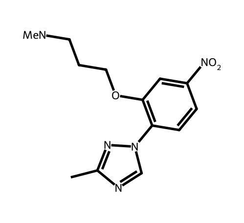 CNCCCOc1cc([N+](=O)[O-])ccc1-n1cnc(C)n1